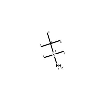 CC(C)(C)[Si](C)(C)P